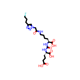 O=C(O)CCC[C@H](NC(=O)N[C@@H](CCCCNC(=O)Cn1cc(CCCF)nn1)C(=O)O)C(=O)O